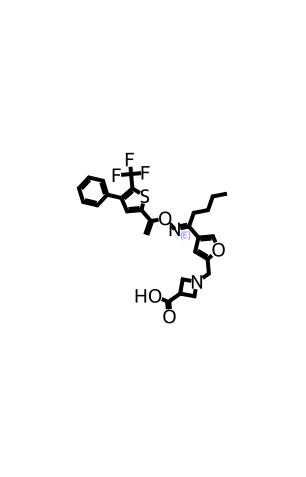 C=C(O/N=C(\CCCC)c1coc(CN2CC(C(=O)O)C2)c1)c1cc(-c2ccccc2)c(C(F)(F)F)s1